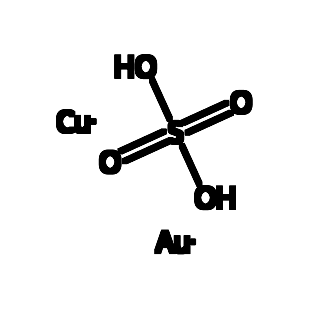 O=S(=O)(O)O.[Au].[Cu]